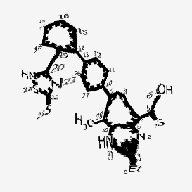 CCc1nc2c(C(O)=S)cc(-c3ccc(-c4ccccc4-c4nc(=S)s[nH]4)cc3)c(C)c2[nH]1